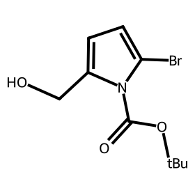 CC(C)(C)OC(=O)n1c(Br)ccc1CO